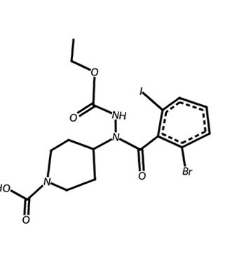 CCOC(=O)NN(C(=O)c1c(Br)cccc1I)C1CCN(C(=O)O)CC1